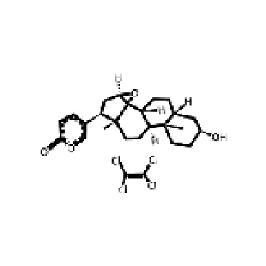 C[C@]12CC[C@H](O)C[C@H]1CC[C@@H]1[C@@H]2CC[C@]2(C)[C@@H](c3ccc(=O)oc3)C[C@H]3O[C@]132.ClC(Cl)=C(Cl)Cl